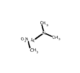 CC(=O)N(C)C.C[N+](=O)[O-]